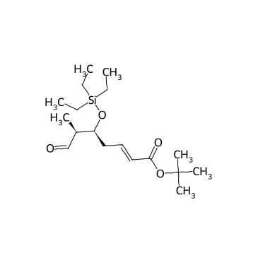 CC[Si](CC)(CC)O[C@@H](C/C=C/C(=O)OC(C)(C)C)[C@H](C)C=O